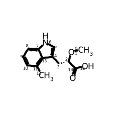 CO[C@@H](Cc1c[nH]c2cccc(C)c12)C(=O)O